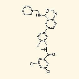 CN(Cc1cc(-c2ccc3ncnc(NCc4ccccc4)c3c2)ccc1F)C(=O)c1cc(Cl)cc(Cl)c1